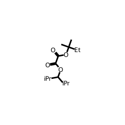 CCC(C)(C)OC(=O)C(=O)OC(C(C)C)C(C)C